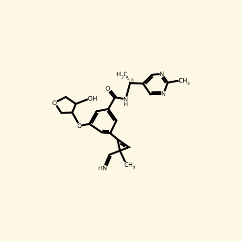 Cc1ncc([C@@H](C)NC(=O)c2cc(OC3COCC3O)cc(C3=CC3(C)C=N)c2)cn1